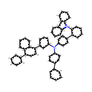 c1ccc(-c2ccc(N(c3ccc(-c4ccccc4-n4c5ccccc5c5ccccc54)cc3)c3cccc(-c4ccc(-c5ccccc5)c5ccccc45)c3)cc2)cc1